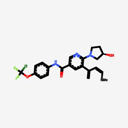 C=C(/C=C\NC)c1cc(C(=O)Nc2ccc(OC(F)(F)Cl)cc2)cnc1N1CC[C@@H](O)C1